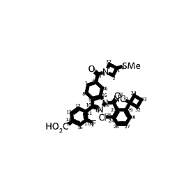 CSC1CN(C(=O)C2CCc3c(-c4ccc(C(=O)O)cc4F)nn(C(=O)c4c(Cl)cccc4C4(C#N)CCC4)c3C2)C1